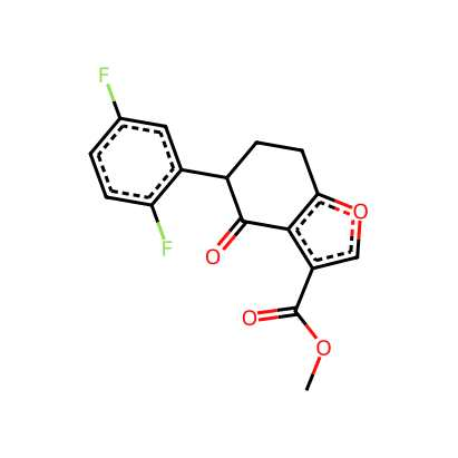 COC(=O)c1coc2c1C(=O)C(c1cc(F)ccc1F)CC2